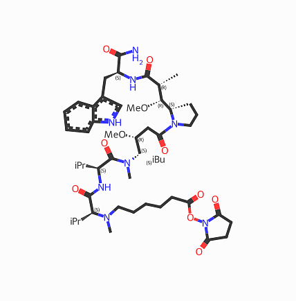 CC[C@H](C)[C@@H]([C@@H](CC(=O)N1CCC[C@H]1[C@H](OC)[C@@H](C)C(=O)N[C@@H](Cc1c[nH]c2ccccc12)C(N)=O)OC)N(C)C(=O)[C@@H](NC(=O)[C@H](C(C)C)N(C)CCCCCC(=O)ON1C(=O)CCC1=O)C(C)C